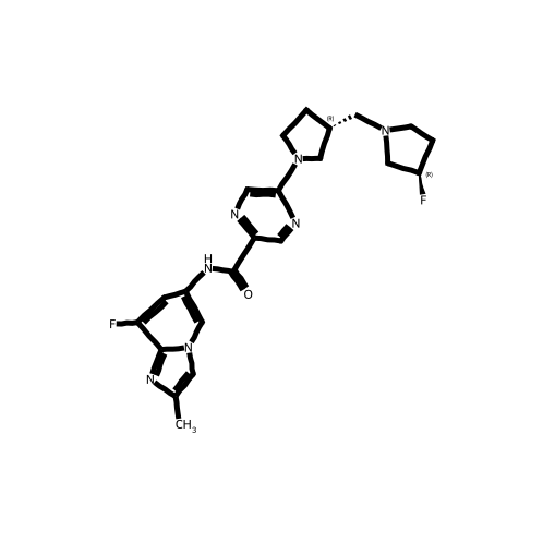 Cc1cn2cc(NC(=O)c3cnc(N4CC[C@H](CN5CC[C@@H](F)C5)C4)cn3)cc(F)c2n1